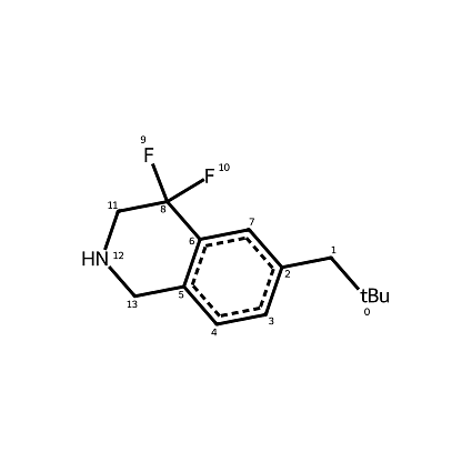 CC(C)(C)Cc1ccc2c(c1)C(F)(F)CNC2